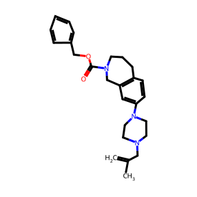 C=C(C)CN1CCN(c2ccc3c(c2)CN(C(=O)OCc2ccccc2)CCC3)CC1